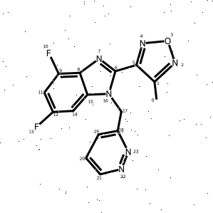 Cc1nonc1-c1nc2c(F)cc(F)cc2n1Cc1cccnn1